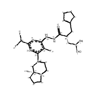 O=CN(O)C[C@@H](CC1CCCC1)C(=O)NNc1nc(C(F)F)nc(N2CCN3CCC[C@H]3C2)c1F